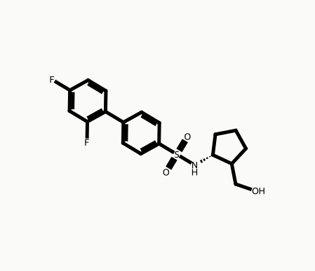 O=S(=O)(N[C@@H]1CCCC1CO)c1ccc(-c2ccc(F)cc2F)cc1